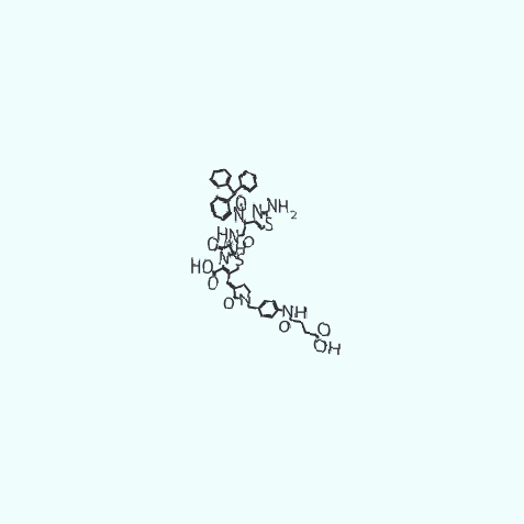 Nc1nc(C(=NOC(c2ccccc2)(c2ccccc2)c2ccccc2)C(=O)N[C@@H]2C(=O)N3C(C(=O)O)=C(C=C4CCN(Cc5ccc(NC(=O)CCC(=O)O)cc5)C4=O)CS[C@H]23)cs1